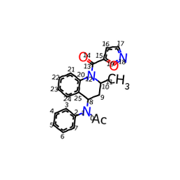 CC(=O)N(c1ccccc1)C1CC(C)N(C(=O)c2ccno2)c2ccccc21